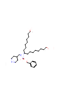 CN1CCC(CN(C(=O)OCc2ccccc2)C(CCCCCCCCO)CCCCCCCCO)CC1